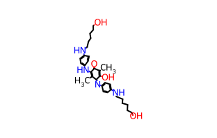 CC1=C(O)/C(=N\c2ccc(NCCCCCCO)cc2)C(C)=C(Nc2ccc(NCCCCCCO)cc2)C1=O